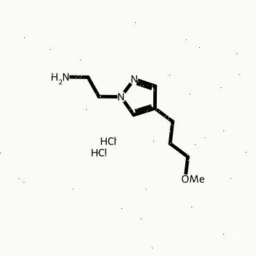 COCCCc1cnn(CCN)c1.Cl.Cl